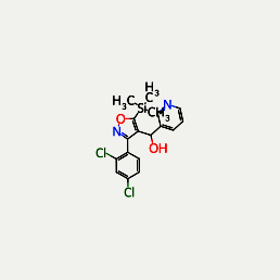 C[Si](C)(C)c1onc(-c2ccc(Cl)cc2Cl)c1C(O)c1cccnc1